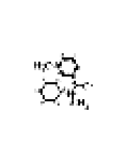 Cc1cccc(C(=O)N(C)C2CCCCC2)c1